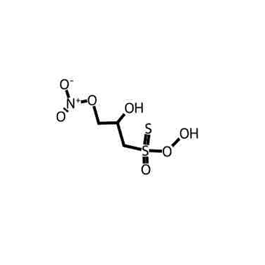 O=[N+]([O-])OCC(O)CS(=O)(=S)OO